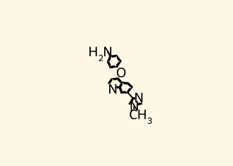 Cn1cnc(-c2ccc3c(Oc4ccc(N)cc4)ccnc3c2)c1